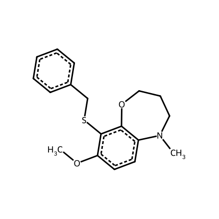 COc1ccc2c(c1SCc1ccccc1)OCCCN2C